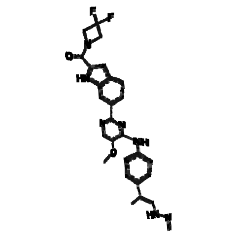 C=NN/C=C(\C)c1ccc(Nc2nc(-c3ccc4cc(C(=O)N5CC(F)(F)C5)[nH]c4c3)ncc2OC)cc1